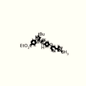 CCOC(=O)c1ccc(-n2nc(C(C)(C)C)cc2NC(=O)Nc2ccc(Oc3ccnc(-c4cnn(C)c4)c3)cc2F)cc1